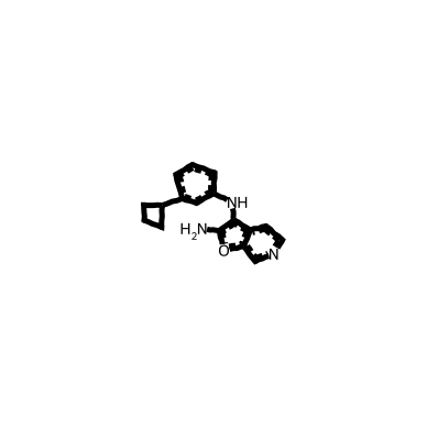 Nc1oc2cnccc2c1Nc1cccc(C2CCC2)c1